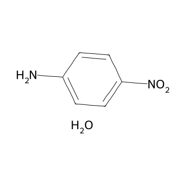 Nc1ccc([N+](=O)[O-])cc1.O